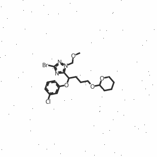 COCn1nc(Br)nc1C(CCCOC1CCCCO1)Oc1cccc(Cl)c1